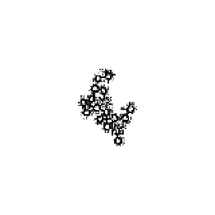 Cc1ccc(-c2cccc(-c3ccc(-c4ccc(C5(c6ccccc6)c6ccccc6-c6cc(-c7cccc(C8(c9ccccc9)c9ccc(-c%10cccc(-c%11ccncc%11C)c%10)cc9-c9c(-c%10nc(C)nc(-c%11ccccc%11)n%10)cccc98)c7)c(-c7nc(C)nc(-c8ccccc8)n7)cc65)cc4)cc3)c2)c(C)n1